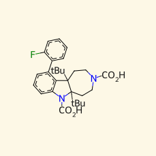 CC(C)(C)C12CCN(C(=O)O)CCC1(C(C)(C)C)N(C(=O)O)c1cccc(-c3ccccc3F)c12